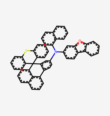 c1ccc2c(c1)Sc1ccccc1C21c2cc(N(c3ccc4c(c3)oc3ccccc34)c3cccc4ccccc34)ccc2-c2cccc3cccc1c23